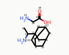 CC(N)C12CC3CC(CC(C3)C1)C2.NCC(=O)O